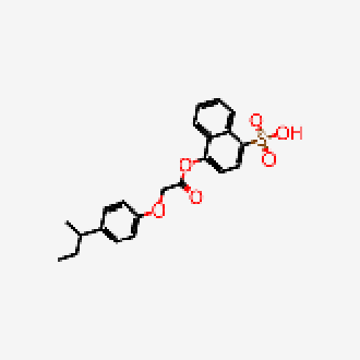 CCC(C)c1ccc(OCC(=O)Oc2ccc(S(=O)(=O)O)c3ccccc23)cc1